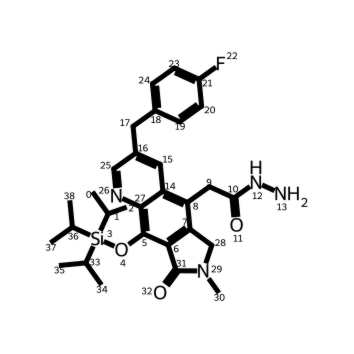 CC(C)[Si](Oc1c2c(c(CC(=O)NN)c3cc(Cc4ccc(F)cc4)cnc13)CN(C)C2=O)(C(C)C)C(C)C